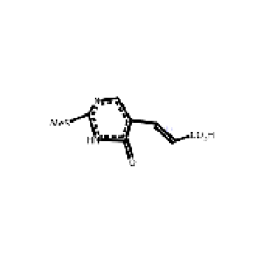 CSc1ncc(/C=C/C(=O)O)c(=O)[nH]1